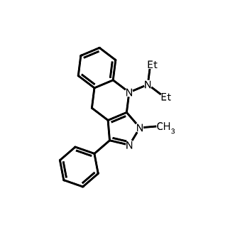 CCN(CC)N1c2ccccc2Cc2c(-c3ccccc3)nn(C)c21